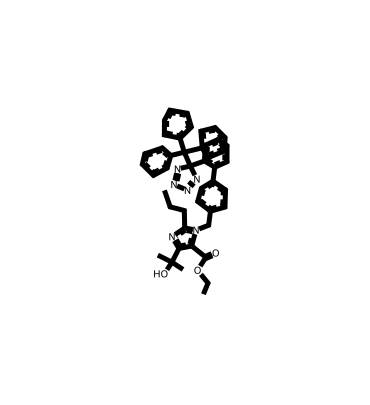 CCCc1nc(C(C)(C)O)c(C(=O)OCC)n1Cc1ccc(-c2ccccc2C2(C(c3ccccc3)(c3ccccc3)c3ccccc3)N=NN=N2)cc1